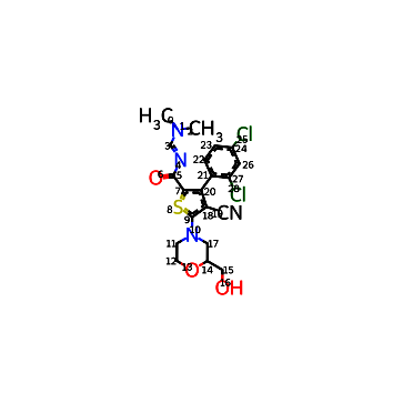 CN(C)/C=N/C(=O)c1sc(N2CCOC(CO)C2)c(C#N)c1-c1ccc(Cl)cc1Cl